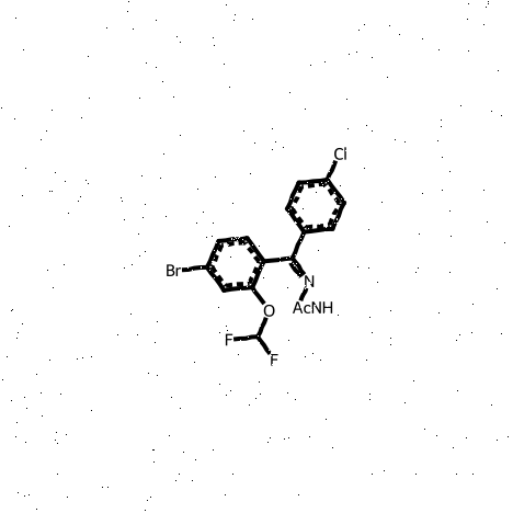 CC(=O)NN=C(c1ccc(Cl)cc1)c1ccc(Br)cc1OC(F)F